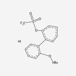 CCCCOc1ccccc1-c1ccccc1OS(=O)(=O)C(F)(F)F.I